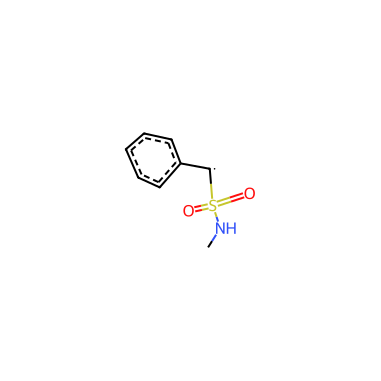 CNS(=O)(=O)[CH]c1ccccc1